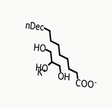 CCCCCCCCCCCCCCCCCC(=O)[O-].OCC(O)CO.[K+]